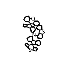 c1ccc2c(c1)Oc1ccccc1C21c2ccccc2-c2cc(N(c3cccc4c3-c3ccccc3C43c4ccccc4Sc4ccccc43)c3cccc4sc5ccccc5c34)ccc21